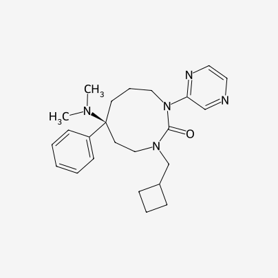 CN(C)[C@@]1(c2ccccc2)CCCN(c2cnccn2)C(=O)N(CC2CCC2)CC1